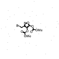 COC(=O)Oc1onc(CBr)c1OC(=O)OC